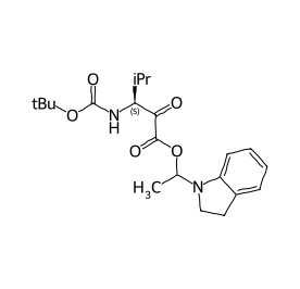 CC(C)[C@H](NC(=O)OC(C)(C)C)C(=O)C(=O)OC(C)N1CCc2ccccc21